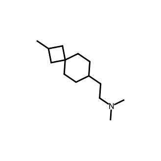 CC1CC2(CCC(CCN(C)C)CC2)C1